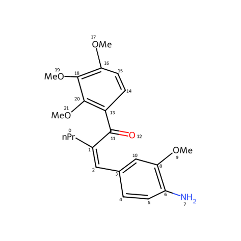 CCCC(=Cc1ccc(N)c(OC)c1)C(=O)c1ccc(OC)c(OC)c1OC